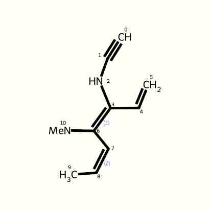 C#CN/C(C=C)=C(/C=C\C)NC